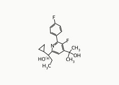 CC[C@](O)(c1cc(C(C)(C)O)c(F)c(-c2ccc(F)cc2)n1)C1CC1